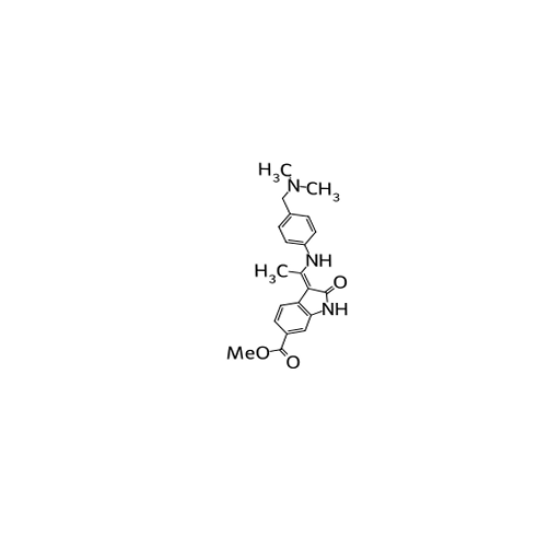 COC(=O)c1ccc2c(c1)NC(=O)/C2=C(/C)Nc1ccc(CN(C)C)cc1